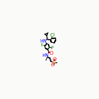 C[C@H](/C=C/S(C)(=O)=O)NC(=O)c1cc(F)c(N[C@@H](c2ccccc2Cl)C2CC2)cc1F